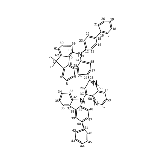 CC1(C)c2ccccc2-c2c(N(c3ccc(-c4ccccc4)cc3)c3ccc(-c4cc(-n5c6ccccc6c6cc(-c7ccccc7)ccc65)c5ncccc5n4)cc3)cccc21